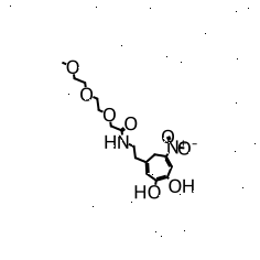 COCCOCCOCC(=O)NCCC1=CC(O)=C(O)C=C([N+](=O)[O-])C1